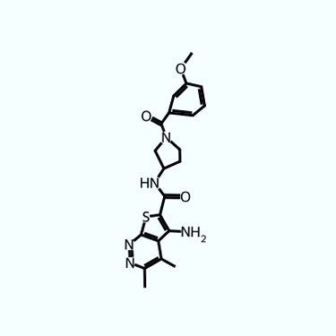 COc1cccc(C(=O)N2CCC(NC(=O)c3sc4nnc(C)c(C)c4c3N)C2)c1